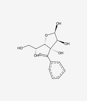 O=C(c1ccccc1)[C@]1(O)[C@H](O)[C@H](O)O[C@H]1[C@H](O)CO